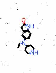 CCN(c1ccc2c(c1)CC(=O)N2)C1CCNCC1